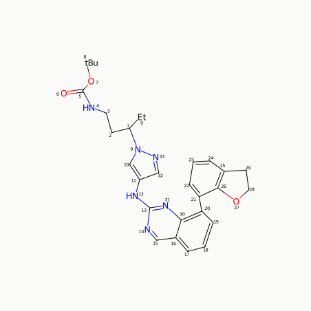 CCC(CCNC(=O)OC(C)(C)C)n1cc(Nc2ncc3cccc(-c4cccc5c4OCC5)c3n2)cn1